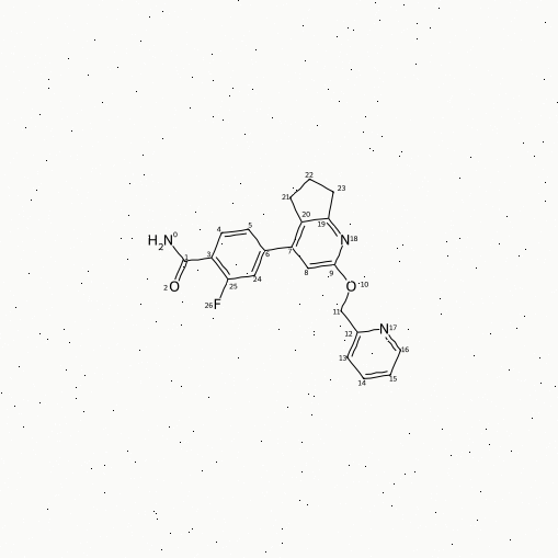 NC(=O)c1ccc(-c2cc(OCc3ccccn3)nc3c2CCC3)cc1F